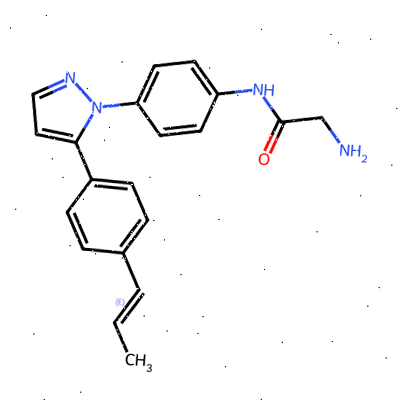 C/C=C/c1ccc(-c2ccnn2-c2ccc(NC(=O)CN)cc2)cc1